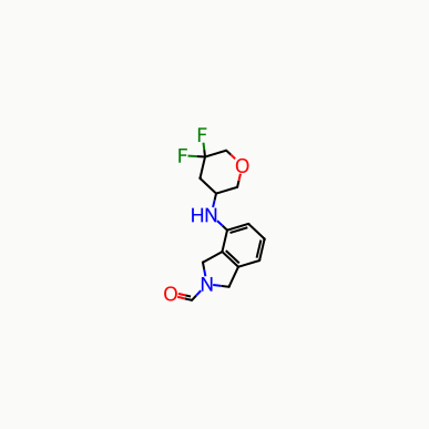 O=CN1Cc2cccc(NC3COCC(F)(F)C3)c2C1